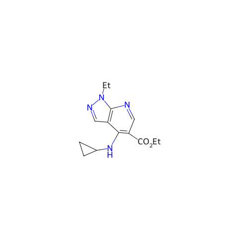 CCOC(=O)c1cnc2c(cnn2CC)c1NC1CC1